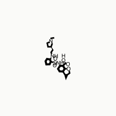 CCN1CC[C@H](CCNc2ccccc2S(=O)(=O)Nc2ccc3c(c2C(=O)O)OCC2CC32)C1